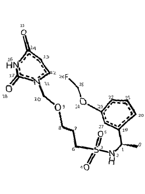 C[C@@H](NS(=O)(=O)CCCOCn1ccc(=O)[nH]c1=O)c1cccc(OCF)c1